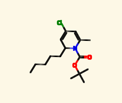 CCCCCC1C=C(Cl)C=C(C)N1C(=O)OC(C)(C)C